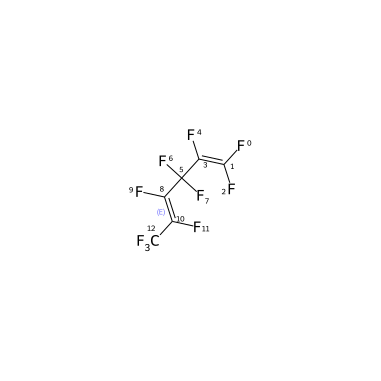 FC(F)=C(F)C(F)(F)/C(F)=C(\F)C(F)(F)F